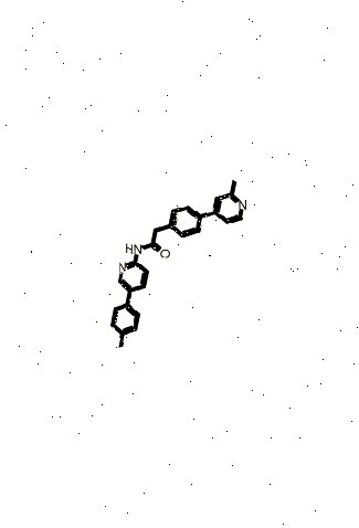 Cc1ccc(-c2ccc(NC(=O)Cc3ccc(-c4ccnc(C)c4)cc3)nc2)cc1